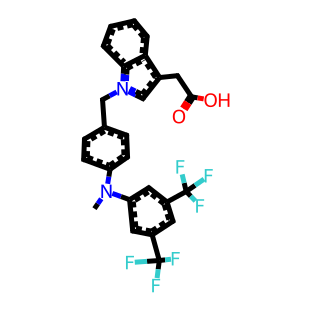 CN(c1ccc(Cn2cc(CC(=O)O)c3ccccc32)cc1)c1cc(C(F)(F)F)cc(C(F)(F)F)c1